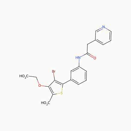 O=C(O)COc1c(C(=O)O)sc(-c2cccc(NC(=O)Cc3cccnc3)c2)c1Br